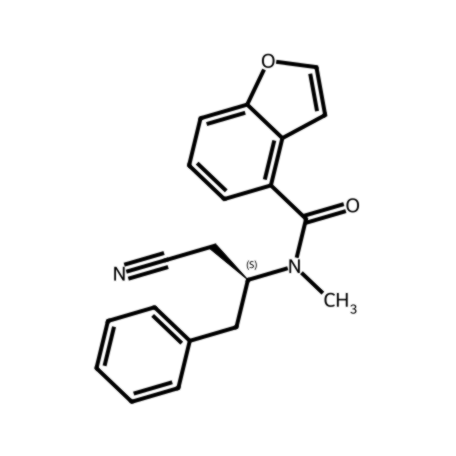 CN(C(=O)c1cccc2occc12)[C@H](CC#N)Cc1ccccc1